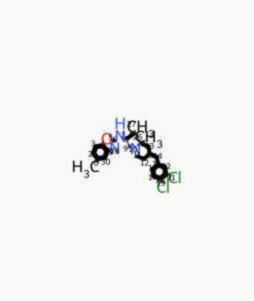 Cc1ccc2oc(N[C@@H](CN3CCC(Cc4ccc(Cl)c(Cl)c4)CC3)C(C)C)nc2c1